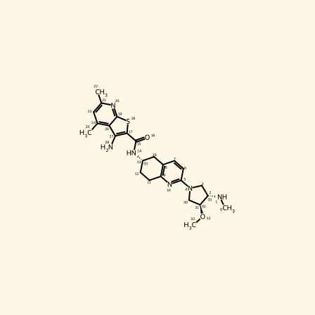 CN[C@H]1CN(c2ccc3c(n2)CC[C@H](NC(=O)c2sc4nc(C)cc(C)c4c2N)C3)C[C@@H]1OC